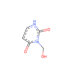 O=c1cc[nH]c(=O)n1CO